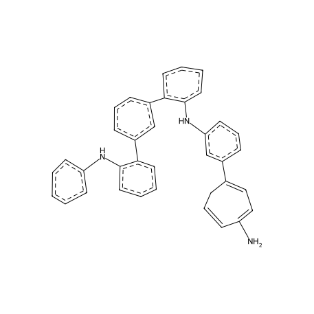 NC1=CC=C(c2cccc(Nc3ccccc3-c3cccc(-c4ccccc4Nc4ccccc4)c3)c2)CC=C1